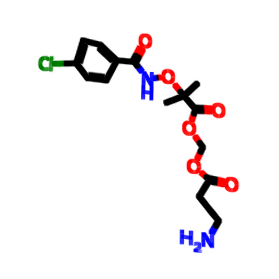 CC(C)(ONC(=O)c1ccc(Cl)cc1)C(=O)OCOC(=O)CCN